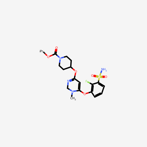 CC(C)OC(=O)N1CCC(OC2=NCN(C)C(Oc3cccc(S(N)(=O)=O)c3F)=C2)CC1